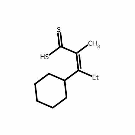 CCC(=C(C)C(=S)S)C1CCCCC1